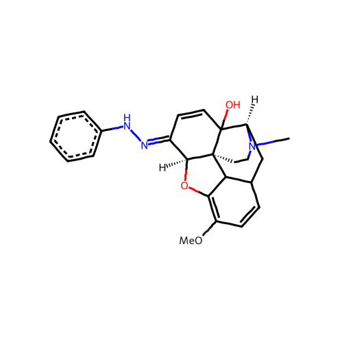 COC1=C2O[C@H]3C(=NNc4ccccc4)C=CC4(O)[C@H]5CC(C=C1)C2[C@@]34CCN5C